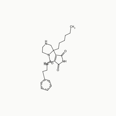 CCCCCCC1(C2=C(C)C(=O)NC2=O)CNCCN1C(=O)NCCc1ccccc1